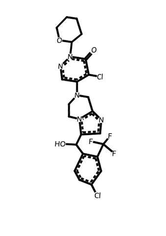 O=c1c(Cl)c(N2CCn3c(C(O)c4ccc(Cl)cc4C(F)(F)F)cnc3C2)cnn1C1CCCCO1